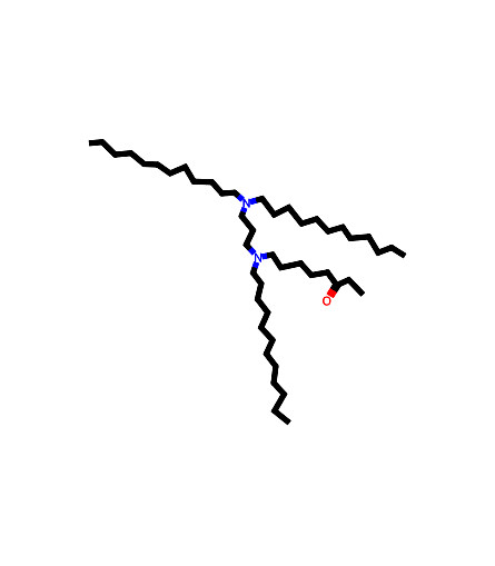 CCCCCCCCCCCCN(CCCCCCCCCCCC)CCCN(CCCCCCCCCCCC)CCCCCC(=O)CC